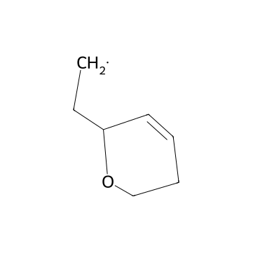 [CH2]CC1C=CCCO1